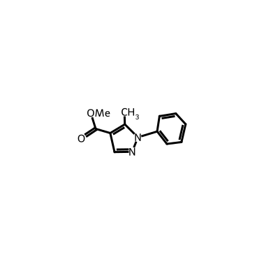 COC(=O)c1cnn(-c2ccccc2)c1C